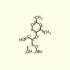 CCCCO[C@H](CO)[C@H](OC1COC(C)O[C@H]1C)SO